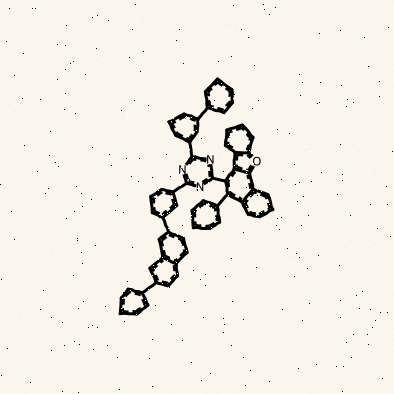 c1ccc(-c2cccc(-c3nc(-c4cccc(-c5ccc6ccc(-c7ccccc7)cc6c5)c4)nc(-c4c(-c5ccccc5)c5ccccc5c5oc6ccccc6c45)n3)c2)cc1